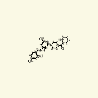 O=C(C1CCCCN1)N1CCN(c2nc(Cl)cc(NCc3ccc(Cl)cc3Cl)n2)CC1